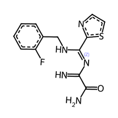 N=C(/N=C(\NCc1ccccc1F)c1nccs1)C(N)=O